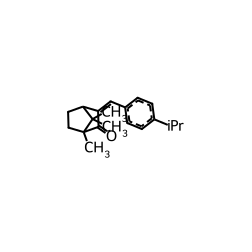 CC(C)c1ccc(C=C2C(=O)C3(C)CCC2C3(C)C)cc1